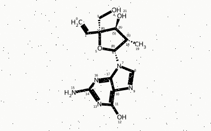 C=C[C@]1(CO)O[C@@H](n2cnc3c(O)nc(N)nc32)[C@@H](C)[C@@H]1O